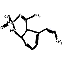 C/C=C\C1=CC=CC2N[SH](=O)(N=O)N=C(N)C12